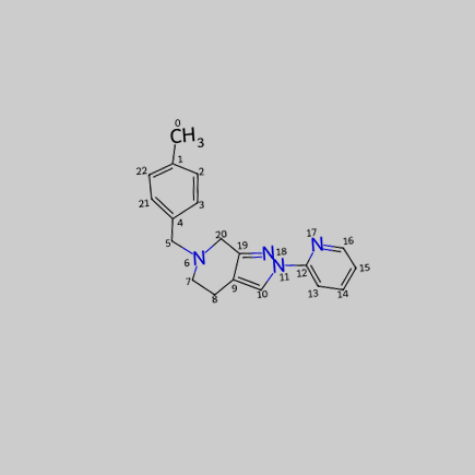 Cc1ccc(CN2CCc3cn(-c4ccccn4)nc3C2)cc1